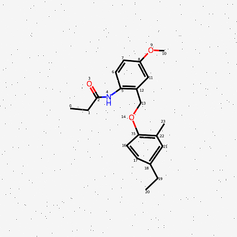 CCC(=O)Nc1ccc(OC)cc1COc1ccc(CC)cc1C